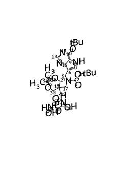 CC(C)(C)OC(=O)N(Cc1c[nH]c2c(OC(C)(C)C)ncnc12)CC1(COP(=O)(NO)NO)COC(C)(C)OC1